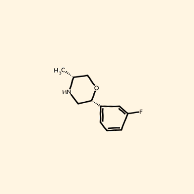 C[C@@H]1CO[C@H](c2cccc(F)c2)CN1